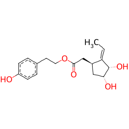 C/C=C1\[C@H](CC(=O)OCCc2ccc(O)cc2)C[C@@H](O)[C@H]1O